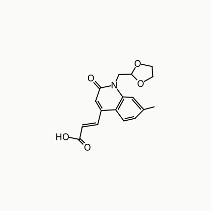 Cc1ccc2c(/C=C/C(=O)O)cc(=O)n(CC3OCCO3)c2c1